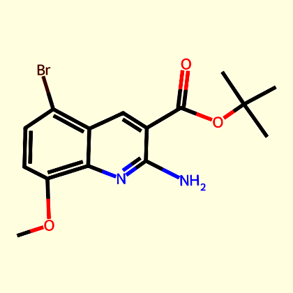 COc1ccc(Br)c2cc(C(=O)OC(C)(C)C)c(N)nc12